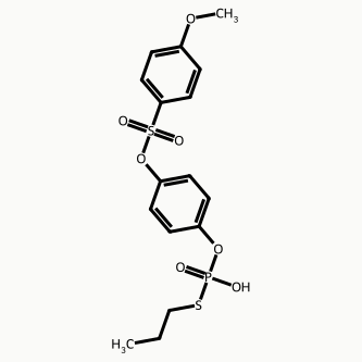 CCCSP(=O)(O)Oc1ccc(OS(=O)(=O)c2ccc(OC)cc2)cc1